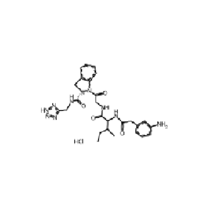 CCC(C)C(NC(=O)Cc1cccc(N)c1)C(=O)NCC(=O)N1c2ccccc2C[C@H]1C(=O)NCc1nn[nH]n1.Cl